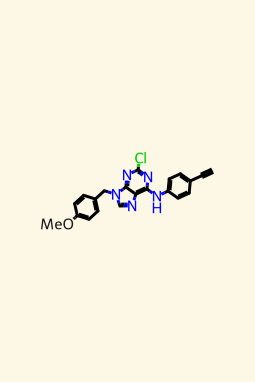 C#Cc1ccc(Nc2nc(Cl)nc3c2ncn3Cc2ccc(OC)cc2)cc1